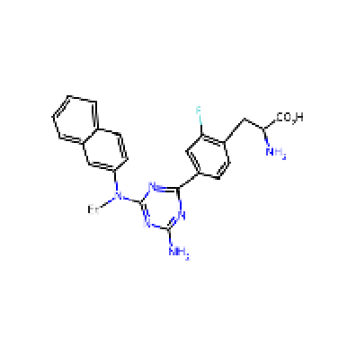 CCN(c1ccc2ccccc2c1)c1nc(N)nc(-c2ccc(CC(N)C(=O)O)c(F)c2)n1